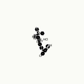 CC1(CN2CCCNCC2)CCC(c2ccc(Cl)cc2)=C(CN2CCN(c3ccc(C(=O)NS(=O)(=O)c4ccc(N[C@H](CCN5CCOCC5)CSc5ccccc5)c(S(=O)(=O)C(F)(F)F)c4)cc3)CC2)C1.Cl